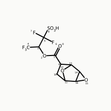 O=C(OC(C(F)(F)F)C(F)(F)S(=O)(=O)O)C1CC2OC1C1OC21